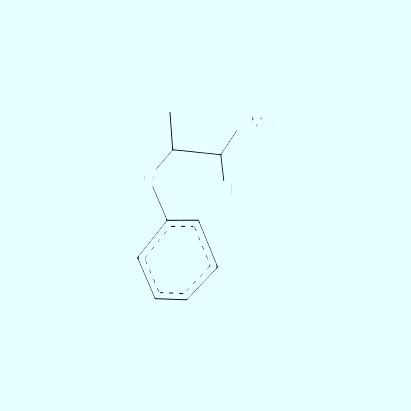 COC(Cl)C(C)Oc1ccccc1